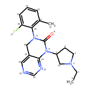 CCN1CCC(N2C(=O)N(c3c(C)cccc3F)Cc3cncnc32)C1